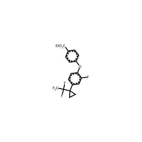 CCOC(=O)c1ccc(Oc2ccc(C3(C(F)(F)C(F)(F)F)CC3)cc2F)cc1